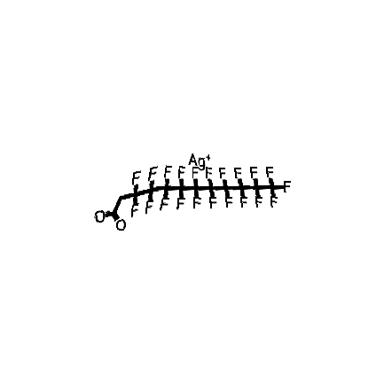 O=C([O-])CC(F)(F)C(F)(F)C(F)(F)C(F)(F)C(F)(F)C(F)(F)C(F)(F)C(F)(F)C(F)(F)C(F)(F)F.[Ag+]